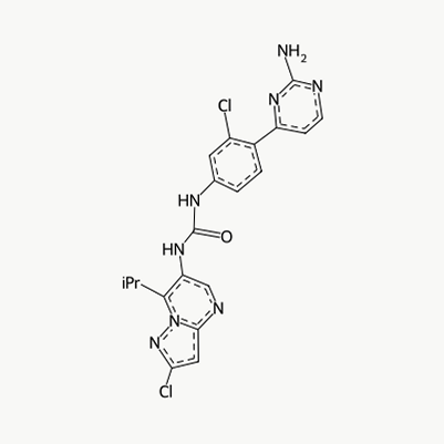 CC(C)c1c(NC(=O)Nc2ccc(-c3ccnc(N)n3)c(Cl)c2)cnc2cc(Cl)nn12